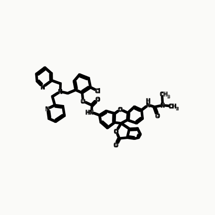 CN(C)C(=O)Nc1ccc2c(c1)Oc1cc(NC(=O)Oc3c(Cl)cccc3CN(Cc3ccccn3)Cc3ccccn3)ccc1C21OC(=O)c2ccccc21